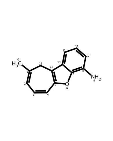 CC1=CC=Cc2oc3c(N)cccc3c2C1